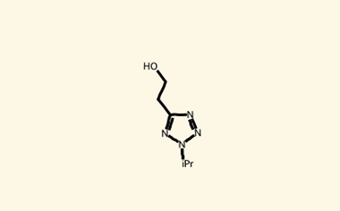 CC(C)n1nnc(CCO)n1